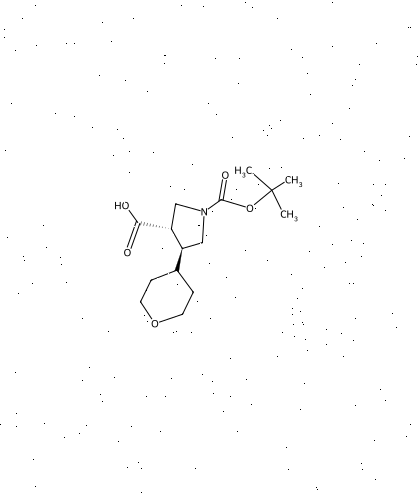 CC(C)(C)OC(=O)N1C[C@@H](C(=O)O)[C@H](C2CCOCC2)C1